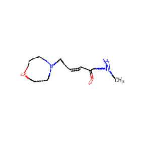 CNC(=O)C=CCN1CCOCC1